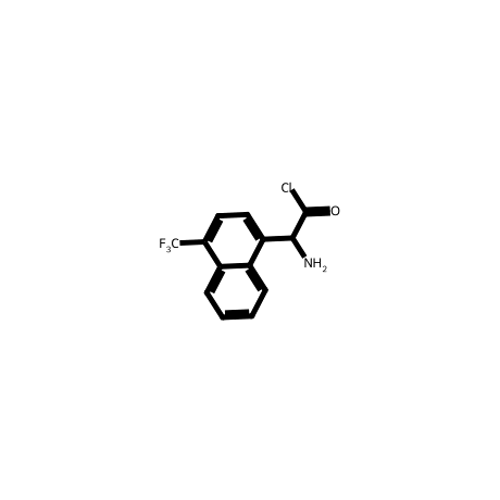 NC(C(=O)Cl)c1ccc(C(F)(F)F)c2ccccc12